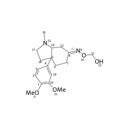 COc1ccc(C23CC/C(=N\OCO)CC2N(C)CC3)cc1OC